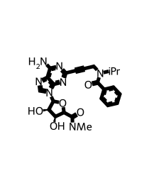 CNC(=O)C1OC(n2cnc3c(N)nc(C#CCN(C(=O)c4ccccc4)C(C)C)nc32)[C@H](O)[C@@H]1O